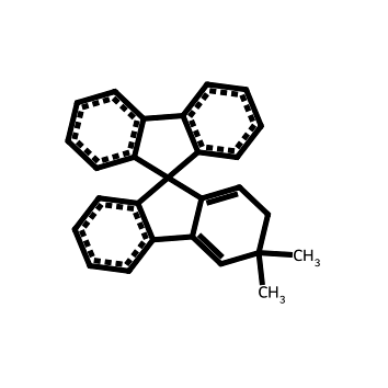 CC1(C)C=C2C(=CC1)C1(c3ccccc32)c2ccccc2-c2ccccc21